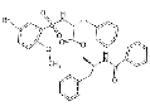 COc1ccc(Br)cc1S(=O)(=O)N[C@H](Cc1ccccc1)C(=O)OC[C@H](Cc1ccccc1)NC(=O)c1ccccc1